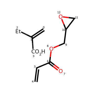 C=C(CC)C(=O)O.C=CC(=O)OCC1CO1